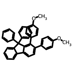 COc1ccc(-c2ccc3c(c2-c2ccc(OC)cc2)C(c2ccccc2)(c2ccccc2)c2ccccc2-3)cc1